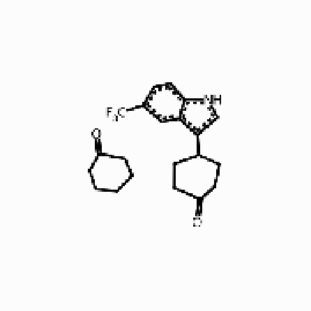 O=C1CCC(c2c[nH]c3ccc(C(F)(F)F)cc23)CC1.O=C1CCCCC1